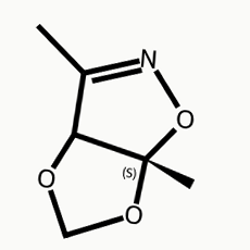 CC1=NO[C@]2(C)OCOC12